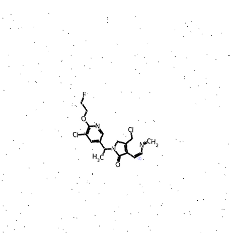 C=N/C=C\C1=C(CCl)CN(C(C)c2cnc(OCCF)c(Cl)c2)C1=O